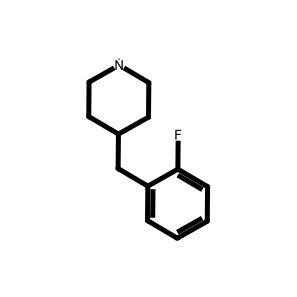 Fc1ccccc1CC1CC[N]CC1